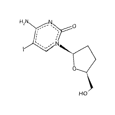 Nc1nc(=O)n([C@H]2CC[C@@H]([CH]O)O2)cc1I